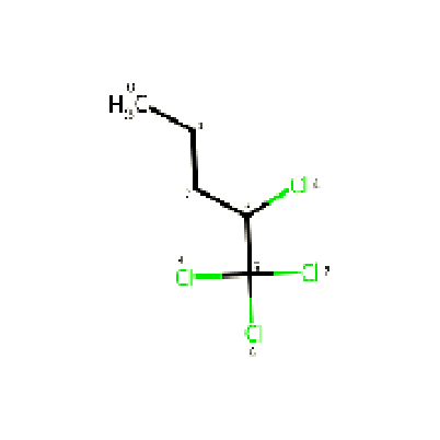 CCCC(Cl)C(Cl)(Cl)Cl